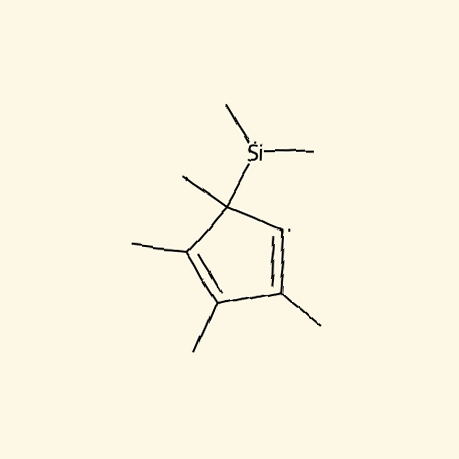 CC1=[C]C(C)([Si](C)C)C(C)=C1C